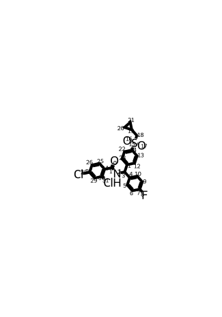 O=C(NC(c1ccc(F)cc1)c1ccc(S(=O)(=O)CC2CC2)cc1)c1ccc(Cl)cc1Cl